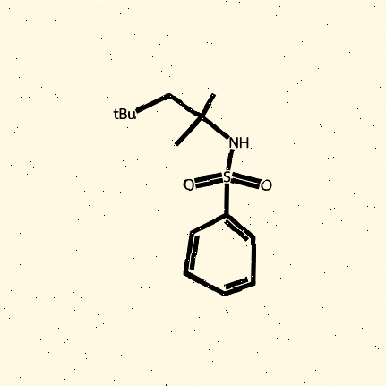 CC(C)(C)CC(C)(C)NS(=O)(=O)c1ccccc1